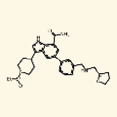 CC[S+]([O-])N1CCC(c2c[nH]c3c(C(N)=O)cc(-c4cccc(CNC[C@H]5CCCO5)c4)cc23)CC1